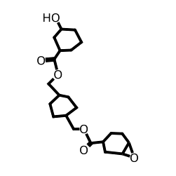 O=C(OCC1CCC(COC(=O)C2CCC3OC3C2)CC1)C1CCCC(O)C1